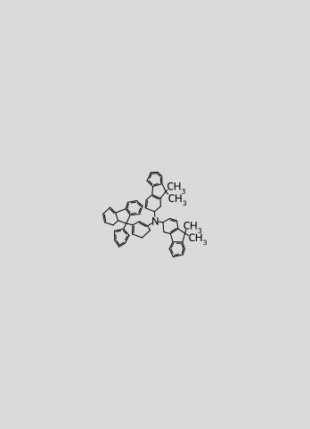 CC1(C)C2=C(CC(N(C3=CC(C4(c5ccccc5)c5ccccc5C5=CC=CCC54)=CCC3)C3C=CC4=C(C3)C(C)(C)c3ccccc34)C=C2)c2ccccc21